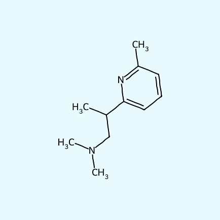 Cc1cccc(C(C)CN(C)C)n1